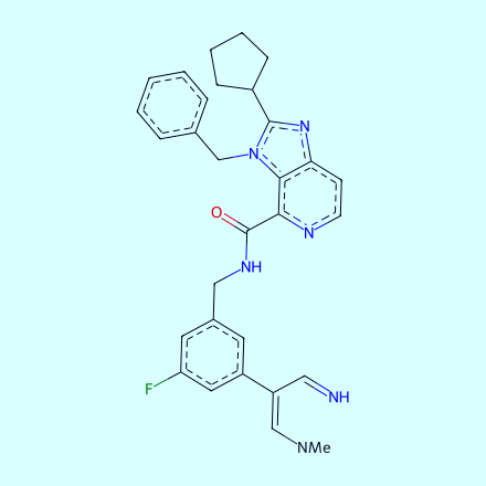 CN/C=C(\C=N)c1cc(F)cc(CNC(=O)c2nccc3nc(C4CCCC4)n(Cc4ccccc4)c23)c1